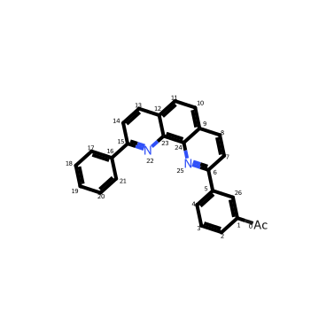 CC(=O)c1cccc(-c2ccc3ccc4ccc(-c5ccccc5)nc4c3n2)c1